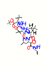 C=CCNC(=O)C(=O)C(CC(C)C)NC(=O)[C@@H]1[C@@H]2[C@H](CN1C(=O)[C@@H](NC(=O)N[C@H](C(=O)OC(C)(C)C)C(C)(C)C)C(C)(C)C)C2(C)C